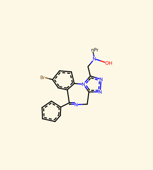 CCCN(O)Cc1nnc2n1-c1ccc(Br)cc1C(c1ccccc1)=NC2